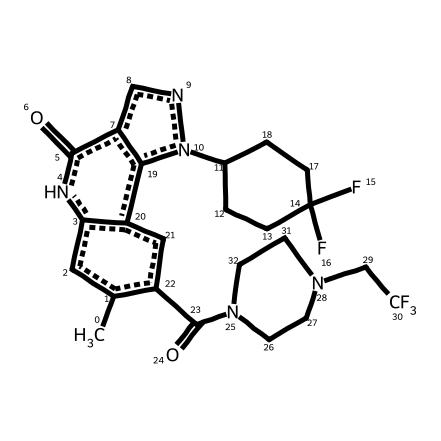 Cc1cc2[nH]c(=O)c3cnn(C4CCC(F)(F)CC4)c3c2cc1C(=O)N1CCN(CC(F)(F)F)CC1